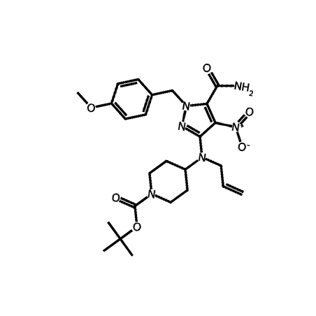 C=CCN(c1nn(Cc2ccc(OC)cc2)c(C(N)=O)c1[N+](=O)[O-])C1CCN(C(=O)OC(C)(C)C)CC1